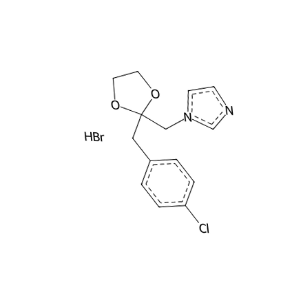 Br.Clc1ccc(CC2(Cn3ccnc3)OCCO2)cc1